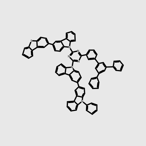 c1ccc(-c2cc(-c3ccccc3)cc(-c3cccc(-c4nc(-n5c6ccccc6c6cc(-c7ccc8sc9ccccc9c8c7)ccc65)nc(-n5c6ccccc6c6cc(-c7ccc8c(c7)c7ccccc7n8-c7ccccc7)ccc65)n4)c3)c2)cc1